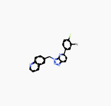 CC(=O)c1cc(-c2ccc3nnn(Cc4ccc5ncccc5c4)c3n2)ccc1F